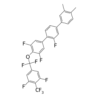 Cc1ccc(-c2ccc(-c3cc(F)c(OC(F)(F)c4cc(F)c(C(F)(F)F)c(F)c4)c(F)c3)c(F)c2)cc1C